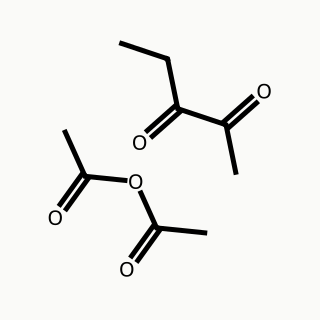 CC(=O)OC(C)=O.CCC(=O)C(C)=O